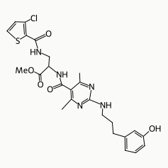 COC(=O)C(CNC(=O)c1sccc1Cl)NC(=O)c1c(C)nc(NCCCc2cccc(O)c2)nc1C